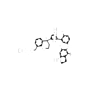 CCOC(=O)Cc1cccc2c1OCC[C@@]2(C)c1c[nH]c(-c2cc(Oc3c(F)cc4[nH]ccc4c3F)ccc2F)n1